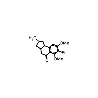 CCc1c(OC)cc2c(c1OC)C(=O)CC1CN(C)CC21